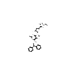 CCn1nnc(C2OC(n3cnc4c(NCC(c5ccccc5)c5ccccc5)nc(Cl)nc43)C(O)C2O)n1